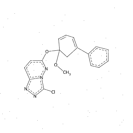 COC1(Oc2ccc3nnc(Cl)n3n2)C=CC=C(c2ccccc2)C1